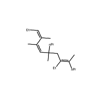 CC/C=C(C)\C(C)=C/C(C)(CCC)C/C(CC)=C(\C)CCC